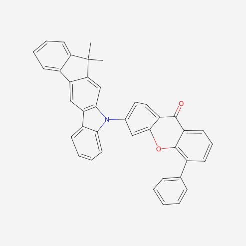 CC1(C)c2ccccc2-c2cc3c4ccccc4n(-c4ccc5c(=O)c6cccc(-c7ccccc7)c6oc5c4)c3cc21